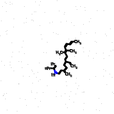 C=CC(CCC(=C)CCN(CC)C(CCC)CC(C)C)CC/C(C)=C(C)/C=C\C=C\C